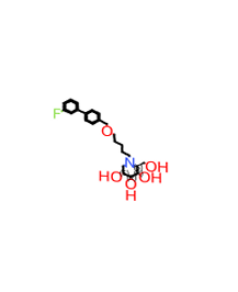 OC[C@H]1[C@@H](O)[C@H](O)[C@@H](O)CN1CCCCCOCc1ccc(-c2cccc(F)c2)cc1